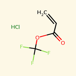 C=CC(=O)OC(F)(F)F.Cl